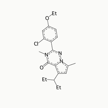 CCOc1ccc(-c2nn3c(C)cc(C(CC)CC)c3c(=O)n2C)c(Cl)c1